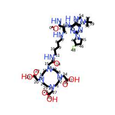 COC(=N)/C(=C\NCCCCCNC(=O)CN1CCN(CC(=O)O)CCN(CC(=O)O)CCN(CC(=O)O)CC1)Nc1nc(N2CC[C@H](F)C2)nc2c1ncn2C(C)(C)C